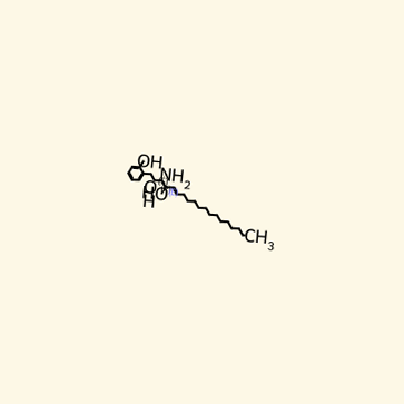 CCCCCCCCCCCCC/C=C/[C@@H](O)[C@@H](N)C(O)Cc1ccccc1O